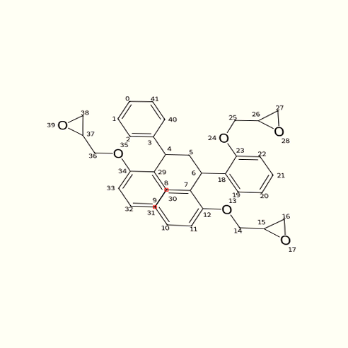 c1ccc(C(CC(c2ccccc2OCC2CO2)c2ccccc2OCC2CO2)c2ccccc2OCC2CO2)cc1